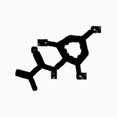 C=C(C)C(=O)Nc1c(C#N)cc(C#N)cc1C#N